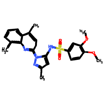 COc1ccc(S(=O)(=O)Nc2cc(C)nn2-c2cc(C)c3cccc(C)c3n2)cc1OC